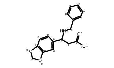 O=C(O)CC(NCc1ccccc1)c1ccc2c(c1)OCO2